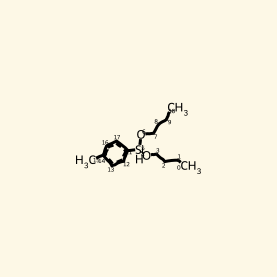 CCCCO[SiH](OCCCC)c1ccc(C)cc1